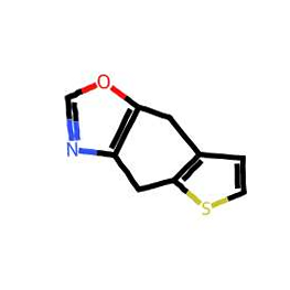 c1nc2c(o1)Cc1ccsc1C2